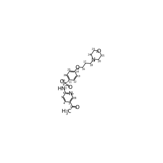 CC(=O)c1ccc(NS(=O)(=O)c2ccc(OCCCN3CCOCC3)cc2)nc1